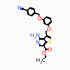 CCOC(=O)c1cnc(N)c2c(COc3cccc(OCc4ccc(C#N)cc4)c3)csc12